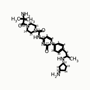 CC(Cc1ccc(-n2ccc(NC(=O)N3CCN(C(=O)C(C)(C)N)CC3)nc2=O)cc1)N[C@@H]1CC[C@@H](N)C1